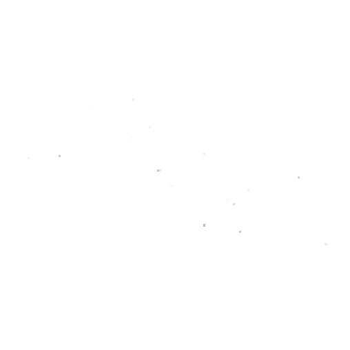 COc1ccc(CN(c2cccc(F)n2)S(=O)(=O)c2cc3oc(=O)n(Cc4cccc5c4CC(NC(=O)O)CC5)c3cc2F)c(OC)c1